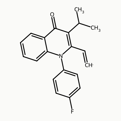 [CH]=Cc1c(C(C)C)c(=O)c2ccccc2n1-c1ccc(F)cc1